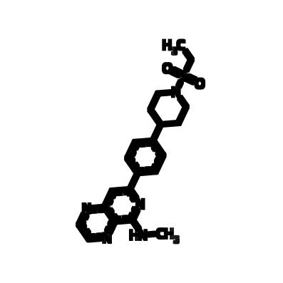 CCS(=O)(=O)N1CCC(c2ccc(-c3cc4nccnc4c(NC)n3)cc2)CC1